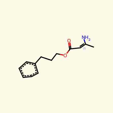 C/C(N)=C/C(=O)OCCCc1ccccc1